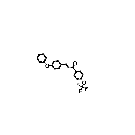 O=C(C=Cc1ccc(Oc2ccccc2)cc1)c1ccc(OC(F)(F)F)cc1